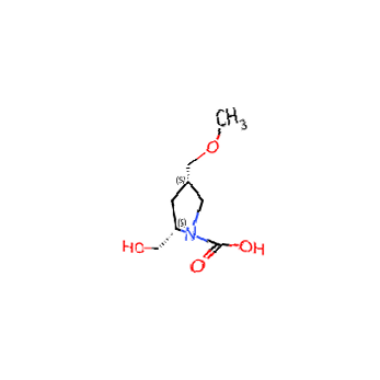 COC[C@H]1C[C@@H](CO)N(C(=O)O)C1